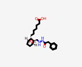 O=C(O)CCCCCC[C@@H]1[C@@H](CNNC(=O)Cc2ccccc2)[C@H]2CC[C@@H]1O2